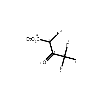 CCOC(=O)C(F)C(=O)C(C)(F)F